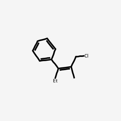 CCC(=C(C)CCl)c1ccccc1